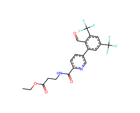 CCOC(=O)CCNC(=O)c1ccc(-c2cc(C(F)(F)F)cc(C(F)(F)F)c2C=O)cn1